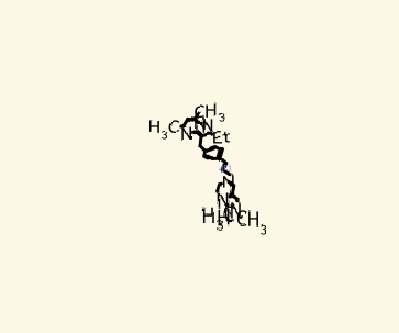 CCc1nn2c(C)cc(C)nc2c1Cc1ccc(/C=C/CN2CCNC(CN(C)C)C2)cc1